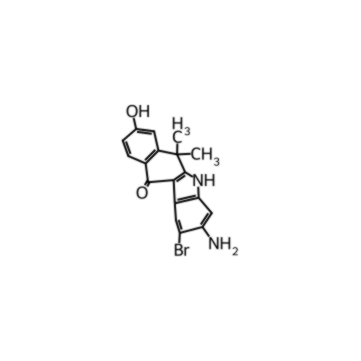 CC1(C)c2cc(O)ccc2C(=O)c2c1[nH]c1cc(N)c(Br)cc21